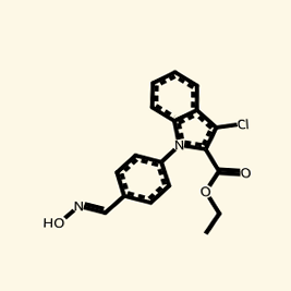 CCOC(=O)c1c(Cl)c2ccccc2n1-c1ccc(C=NO)cc1